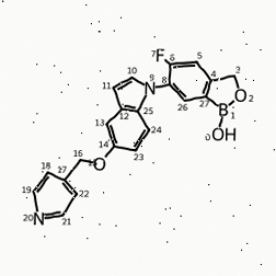 OB1OCc2cc(F)c(-n3ccc4cc(OCc5ccncc5)ccc43)cc21